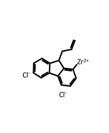 C=CCC1c2ccccc2-c2ccc[c]([Zr+2])c21.[Cl-].[Cl-]